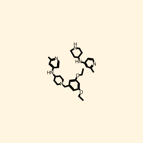 CCOc1cc(CN2CCC(Nc3ccnc(C)c3)CC2)cc(OCC)c1.Cc1cc(NC2CCNCC2)ccn1